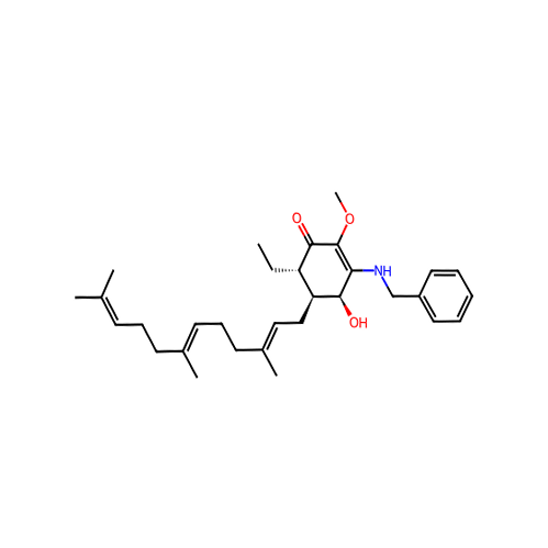 CC[C@@H]1C(=O)C(OC)=C(NCc2ccccc2)[C@@H](O)[C@H]1C/C=C(\C)CC/C=C(\C)CCC=C(C)C